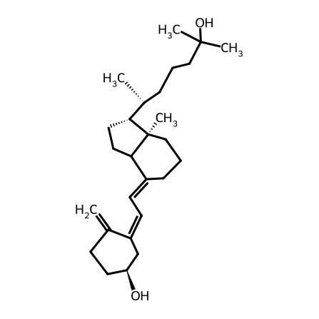 C=C1CC[C@H](O)C/C1=C/C=C1\CCC[C@@]2(C)C1CC[C@@H]2[C@H](C)CCCC(C)(C)O